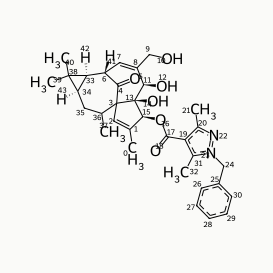 CC1=CC23C(=O)[C@@H](C=C(CO)[C@@H](O)[C@]2(O)[C@H]1OC(=O)c1c(C)nn(Cc2ccccc2)c1C)[C@H]1[C@@H](CC3C)C1(C)C